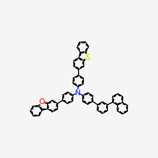 c1cc(-c2ccc(N(c3ccc(-c4ccc5c(c4)oc4ccccc45)cc3)c3ccc(-c4ccc5c(c4)sc4ccccc45)cc3)cc2)cc(-c2cccc3ccccc23)c1